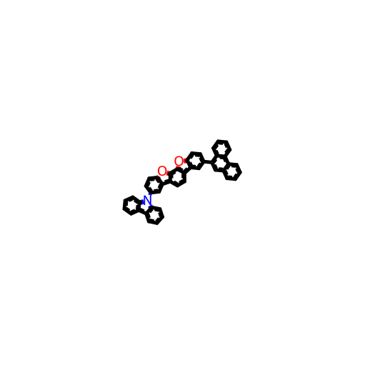 c1ccc2c(c1)cc(-c1ccc3oc4c(ccc5c6cc(-n7c8ccccc8c8ccccc87)ccc6oc54)c3c1)c1ccccc12